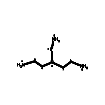 NCC[N](CCN)[Ir][NH2]